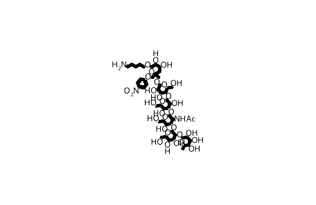 CC(=O)NC1C(O[C@@H]2OC(CO)[C@H](O)C(O)[C@@H]2O[C@@H]2OC(C)[C@@H](O)C(O)C2O)[C@@H](O)C(CO)O[C@H]1OC1C(O)[C@@H](O[C@H]2C(CO)O[C@@H](OCC3(COc4ccc([N+](=O)[O-])cc4)CC(O)C(O)[C@H](OCCCCCN)O3)C(O)C2O)OC(CO)[C@@H]1O